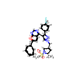 C[C@H]1C[C@H](Cn2cc(-c3ncnc4oc(-c5ccccc5)cc34)c(-c3ccc(F)cc3)n2)CN1S(C)(=O)=O